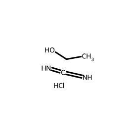 CCO.Cl.N=C=N